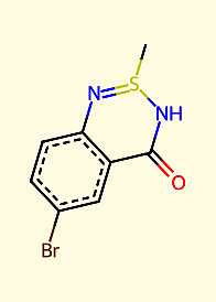 CS1=Nc2ccc(Br)cc2C(=O)N1